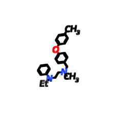 CCN(CCN(C)Cc1ccc(Oc2ccc(C)cc2)cc1)c1ccccc1